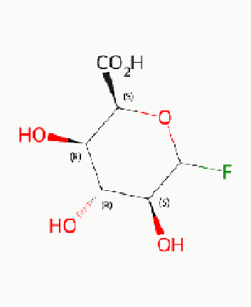 O=C(O)[C@H]1OC(F)[C@@H](O)[C@H](O)[C@H]1O